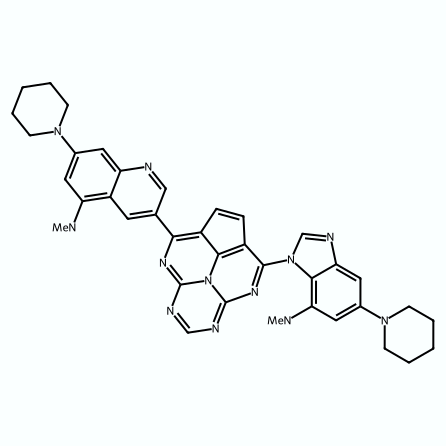 CNc1cc(N2CCCCC2)cc2ncc(-c3nc4ncnc5nc(-n6cnc7cc(N8CCCCC8)cc(NC)c76)c6ccc3c6n45)cc12